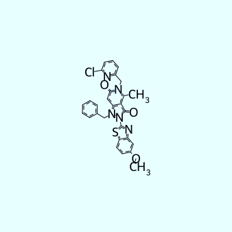 COc1ccc2sc(-n3c(=O)c4c(C)n(Cc5cccc(Cl)n5)c(=O)cc4n3Cc3ccccc3)nc2c1